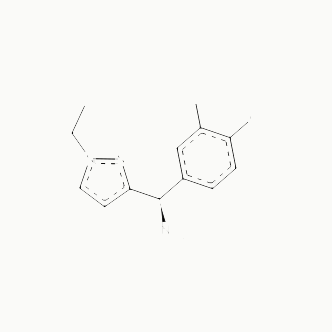 CCn1ccc([C@H](N)c2ccc(Cl)c(F)c2)n1